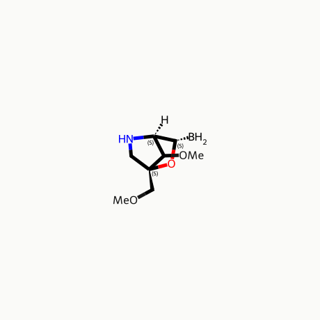 B[C@@H]1O[C@]2(COC)CN[C@@H]1C2OC